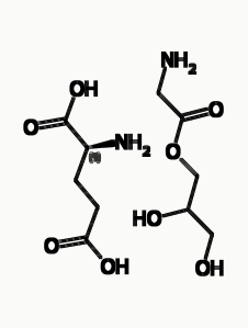 NCC(=O)OCC(O)CO.N[C@@H](CCC(=O)O)C(=O)O